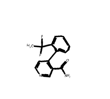 CC(F)(F)c1ccccc1-c1ccncc1C(N)=O